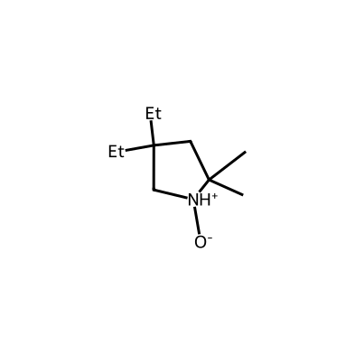 CCC1(CC)C[NH+]([O-])C(C)(C)C1